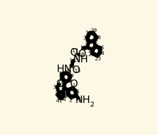 Nc1ccc2c(c1)Oc1cc(NC(=O)CNC(=O)OCC3c4ccccc4-c4ccccc43)ccc1C21OCc2ccccc21